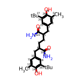 Cc1cc(CC(CCC(Cc2cc(C)c(O)c(C(C)(C)C)c2)C(N)=O)C(N)=O)cc(C(C)(C)C)c1O